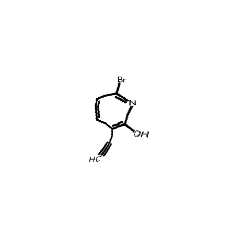 C#Cc1ccc(Br)nc1O